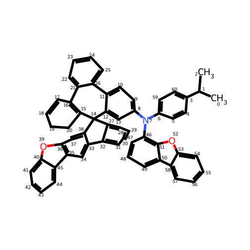 CC(C)c1ccc(N(c2ccc3c(c2)C2(C4=C(C=CCC4)c4ccccc4-3)c3ccccc3-c3cc4c(cc32)oc2ccccc24)c2cccc3c2oc2ccccc23)cc1